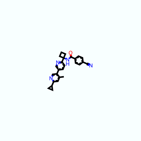 Cc1cc(C2CC2)ncc1-c1ccc(C2(NC(=O)c3ccc(C#N)cc3)CCC2)nc1